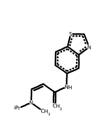 C=C(/C=C\N(C)C(C)C)Nc1ccc2scnc2c1